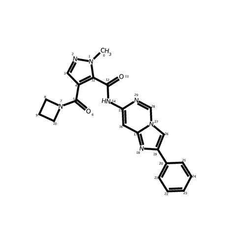 Cn1ncc(C(=O)N2CCC2)c1C(=O)Nc1cc2nc(-c3ccccc3)cn2cn1